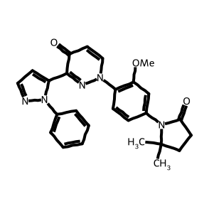 COc1cc(N2C(=O)CCC2(C)C)ccc1-n1ccc(=O)c(-c2ccnn2-c2ccccc2)n1